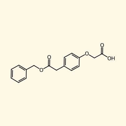 O=C(O)COc1ccc(CC(=O)OCc2ccccc2)cc1